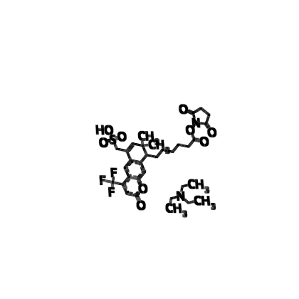 CC1(C)C=C(CS(=O)(=O)O)c2cc3c(C(F)(F)F)cc(=O)oc3cc2C1CCCCCC(=O)ON1C(=O)CCC1=O.CCN(CC)CC